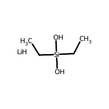 CC[Si](O)(O)CC.[LiH]